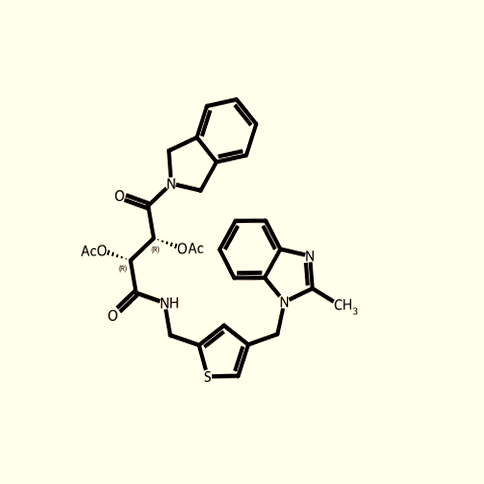 CC(=O)O[C@@H](C(=O)NCc1cc(Cn2c(C)nc3ccccc32)cs1)[C@@H](OC(C)=O)C(=O)N1Cc2ccccc2C1